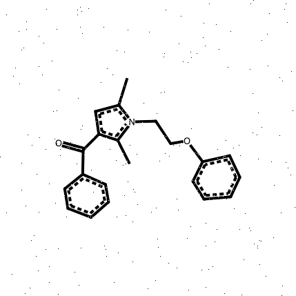 Cc1cc(C(=O)c2ccccc2)c(C)n1CCOc1ccccc1